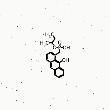 CCC(C)OP(=O)(O)Cc1cccc2cc3ccccc3c(O)c12